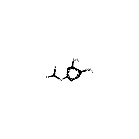 Nc1ccc(OC(F)F)cc1N